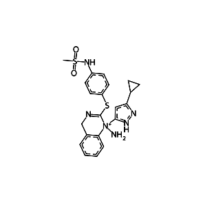 CS(=O)(=O)Nc1ccc(SC2=NCc3ccccc3[N+]2(N)c2cc(C3CC3)n[nH]2)cc1